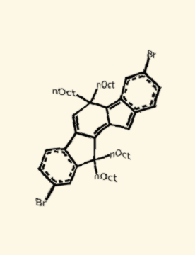 CCCCCCCCC1(CCCCCCCC)C=C2C(=C3C=c4ccc(Br)cc4=C31)C(CCCCCCCC)(CCCCCCCC)c1cc(Br)ccc12